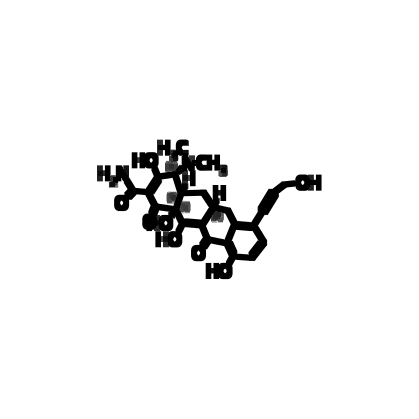 CN(C)[C@@H]1C(O)=C(C(N)=O)C(=O)[C@@]2(O)C(O)=C3C(=O)c4c(O)ccc(C#CCO)c4C[C@H]3C[C@@H]12